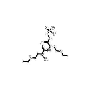 CCSCC[C@H](NC(=O)[C@@H](N)CCSCC)C(=O)SSP(=O)(O)O